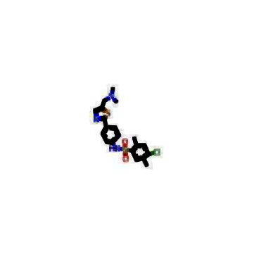 Cc1cc(S(=O)(=O)Nc2ccc(-c3ncc(CN(C)C)s3)cc2)c(C)cc1Cl